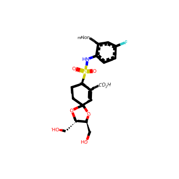 CCCCCCCCCc1cc(F)ccc1NS(=O)(=O)C1CCC2(C=C1C(=O)O)O[C@@H](CO)[C@H](CO)O2